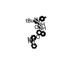 Cc1ccc(-n2nc(C(C)(C)C)cc2NC(=O)N[C@H]2CC[C@@H](Oc3ccc4nnc(N5CCCCC5)n4c3)c3ccccc32)cc1